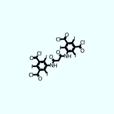 O=C(CC(=O)Nc1c(I)c(C(=O)Cl)c(I)c(C(=O)Cl)c1I)Nc1c(I)c(C(=O)Cl)c(I)c(C(=O)Cl)c1I